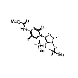 COC(=O)Nc1nc(=O)n([C@@H]2O[C@H](C)[C@@H](O[Si](C)(C)C(C)(C)C)[C@H]2O[Si](C)(C)C(C)(C)C)cc1I